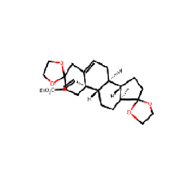 CCOC(=O)C=C[C@]12CCC3(CC1=CC[C@@H]1[C@@H]2CC[C@@]2(C)[C@H]1CCC21OCCO1)OCCO3